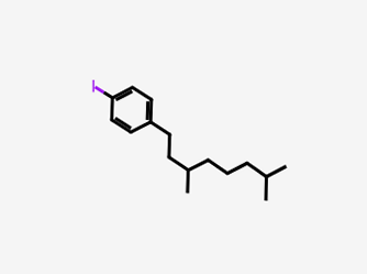 CC(C)CCCC(C)CCc1ccc(I)cc1